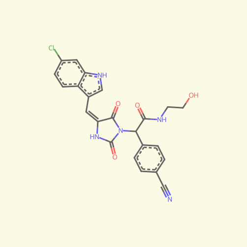 N#Cc1ccc(C(C(=O)NCCO)N2C(=O)NC(=Cc3c[nH]c4cc(Cl)ccc34)C2=O)cc1